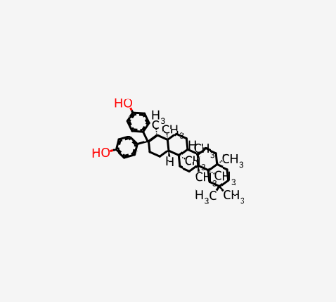 C[C@H]1C(c2ccc(O)cc2)(c2ccc(O)cc2)CC[C@@H]2[C@]1(C)CC[C@H]1[C@@]2(C)CC[C@@]2(C)[C@]3(C)CC(C)(C)CC[C@]3(C)CC[C@]12C